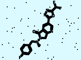 CN(Cc1ccc(F)cc1)N1Cc2ncc(-c3nnc(C(F)F)o3)cc2C1=O